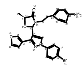 C[C@@H]1O[C@H](c2cn(-c3ccc(Br)cc3)nc2-c2ccoc2)N(CCc2ccc(N)cc2)C1=O